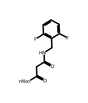 CCCCCCCCCC(=O)CC(=O)NCc1c(F)cccc1F